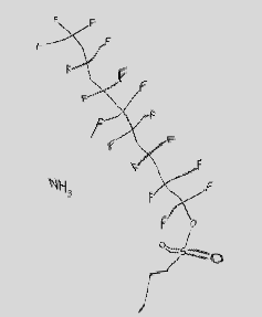 CCCS(=O)(=O)OC(F)(F)C(F)(F)C(F)(F)C(F)(F)C(F)(F)C(F)(F)C(F)(F)C(F)(F)F.N